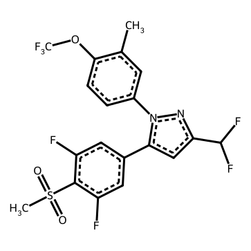 Cc1cc(-n2nc(C(F)F)cc2-c2cc(F)c(S(C)(=O)=O)c(F)c2)ccc1OC(F)(F)F